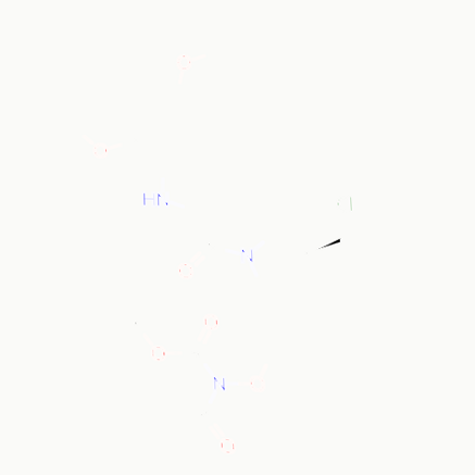 COc1cc2cc(C(=O)N3C[C@@H](CCl)c4c3cc(ON(C(C)=O)C(=O)OC(C)(C)C)c3ccccc43)[nH]c2c(OC)c1C